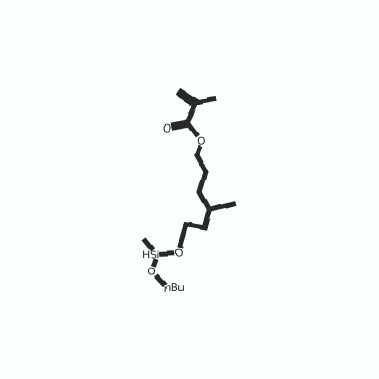 C=C(C)C(=O)OCCCC(C)CCO[SiH](C)OCCCC